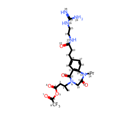 CC(CC(=O)OC(=O)C(F)(F)F)N1CC(=O)N(C(C)C)c2ccc(CCC(=O)NCCNC(=N)N)cc2C1=O